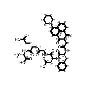 C[C@H](NC(=O)[C@H](CCC(=O)O)NC(=O)CNC(=O)[C@H](CC(=O)O)NC(=O)[C@H](Cc1ccccc1)NC(=O)CC1C(=O)c2cccc3c(N4CCCCC4)ccc(c23)C1=O)C(=O)O